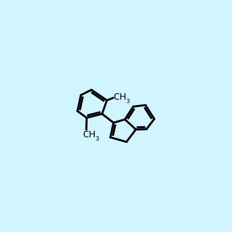 Cc1cccc(C)c1C1=CCc2ccccc21